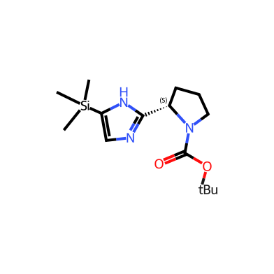 CC(C)(C)OC(=O)N1CCC[C@H]1c1ncc([Si](C)(C)C)[nH]1